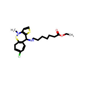 CCOC(=O)CCCCCCNC1C2=C(CC=C(Cl)C=C2)SN(C)c2ccsc21